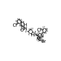 O=C(NCc1ccc(CNc2cc(-c3ccccc3Cl)nc3c(Br)cnn23)cc1)NCc1ccccc1Cl